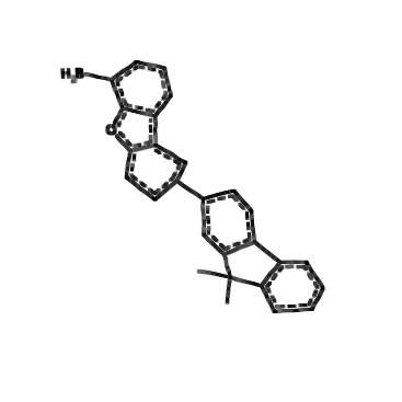 Bc1cccc2c1oc1ccc(-c3ccc4c(c3)C(C)(C)c3ccccc3-4)cc12